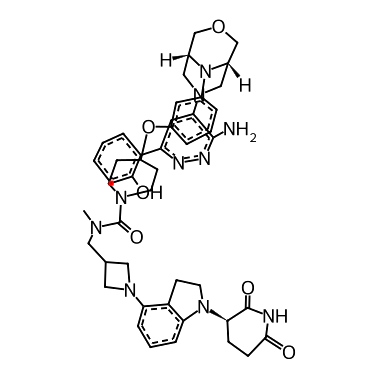 CN(CC1CN(c2cccc3c2CCN3[C@@H]2CCC(=O)NC2=O)C1)C(=O)N1CCC(Oc2cccc(N3[C@@H]4COC[C@H]3CN(c3cc(-c5ccccc5O)nnc3N)C4)c2)CC1